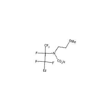 CCC(F)(F)C(F)(N(CCOC)C(=O)O)C(F)(F)F